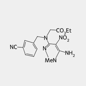 CCOC(=O)CN(Cc1cccc(C#N)c1)C(=N/C)/C(=C(/N)NC)[N+](=O)[O-]